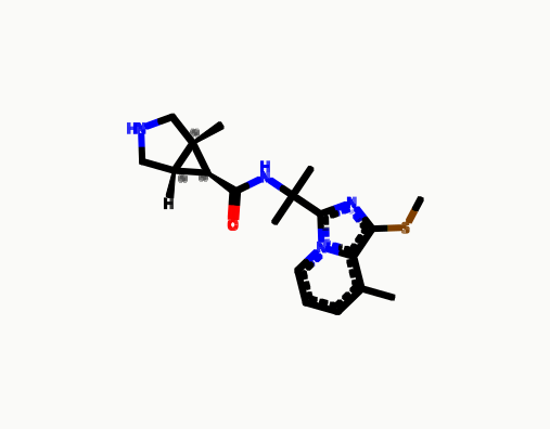 CSc1nc(C(C)(C)NC(=O)[C@H]2[C@@H]3CNC[C@@]32C)n2cccc(C)c12